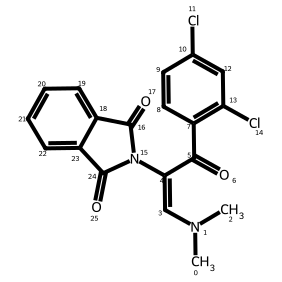 CN(C)C=C(C(=O)c1ccc(Cl)cc1Cl)N1C(=O)c2ccccc2C1=O